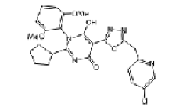 COc1cccc(OC)c1-n1c(C2CCCC2)nc(=O)c(-c2nnc(Cc3ccc(Cl)cn3)o2)c1O